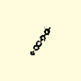 Cc1ccc(-c2ccc(N3CCC4(CC3)CCN(C3CCC3)CC4)nn2)cc1F